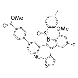 COC(=O)c1ccc(-c2cccc(-c3c(-c4ccsc4C#N)c4cc(F)cc(OC)c4n3[S+]([O-])c3ccc(C)cc3)c2)cc1